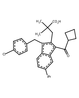 CC(C)c1ccc2c(c1)c(C(=O)C1CCC1)c(CC(C)(C)C(=O)O)n2Cc1ccc(Cl)cc1